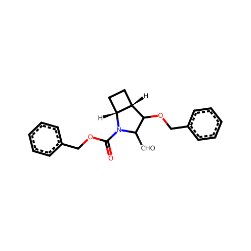 O=CC1C(OCc2ccccc2)[C@H]2CC[C@H]2N1C(=O)OCc1ccccc1